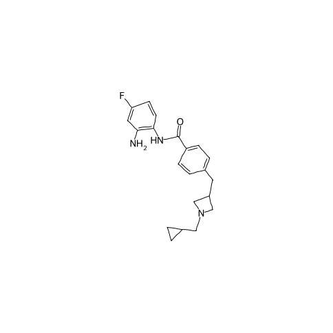 Nc1cc(F)ccc1NC(=O)c1ccc(CC2CN(CC3CC3)C2)cc1